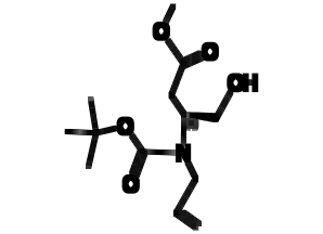 C=CCN(C(=O)OC(C)(C)C)[C@H](CO)CC(=O)OC